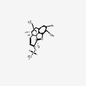 CN1CC[C@]23c4c5cc(Br)c(O)c4O[C@H]2[C@@H](OS(C)(=O)=O)C=C[C@H]3[C@H]1C5